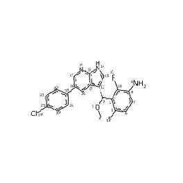 COC(c1c(F)ccc(N)c1F)c1c[nH]c2ncc(-c3ccc(Cl)cc3)cc12